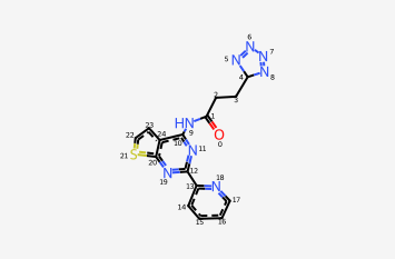 O=C(CCC1N=NN=N1)Nc1nc(-c2ccccn2)nc2sccc12